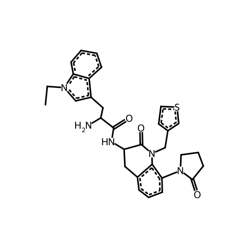 CCn1cc(CC(N)C(=O)NC2Cc3cccc(N4CCCC4=O)c3N(Cc3ccsc3)C2=O)c2ccccc21